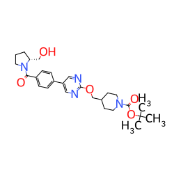 CC(C)(C)OC(=O)N1CCC(COc2ncc(-c3ccc(C(=O)N4CCC[C@@H]4CO)cc3)cn2)CC1